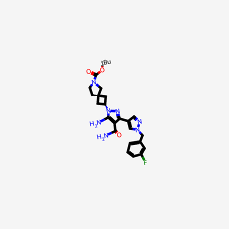 CC(C)(C)OC(=O)N1CC[C@]2(C1)C[C@H](n1nc(-c3cnn(Cc4cccc(F)c4)c3)c(C(N)=O)c1N)C2